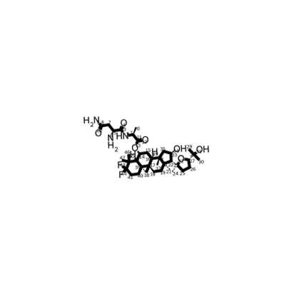 C[C@H](NC(=O)[C@@H](N)CC(N)=O)C(=O)O[C@H]1C[C@@H]2[C@]3(CC[C@]4(C)[C@@H]([C@]5(C)CC[C@@H](C(C)(C)O)O5)[C@@H](O)C[C@@]24C)C[C@@]32CCC(F)(F)C(C)(C)[C@H]12